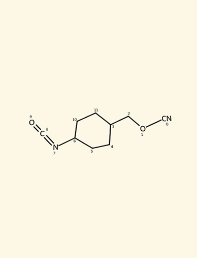 N#COCC1CCC(N=C=O)CC1